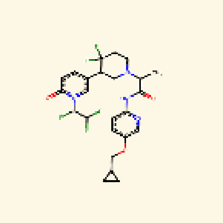 CC(C(=O)Nc1ccc(OCC2CC2)cn1)N1CCC(F)(F)C(c2ccc(=O)n(C(F)C(F)F)c2)C1